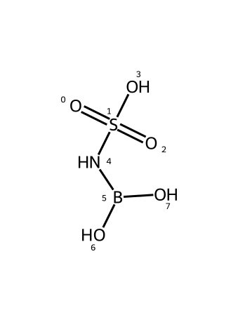 O=S(=O)(O)NB(O)O